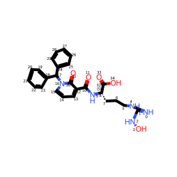 N=C(NO)NCCC[C@H](NC(=O)c1cccn(C(c2ccccc2)c2ccccc2)c1=O)C(=O)O